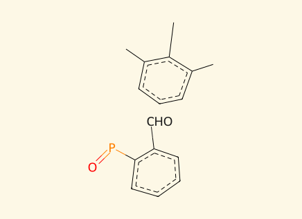 Cc1cccc(C)c1C.O=Cc1ccccc1P=O